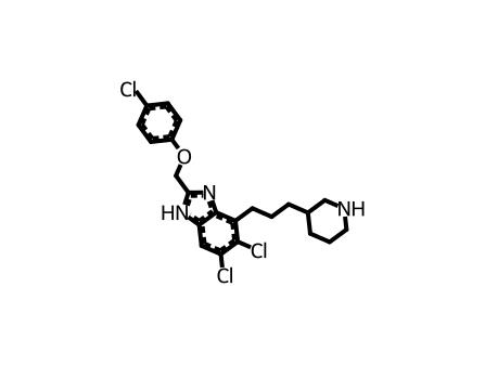 Clc1ccc(OCc2nc3c(CCCC4CCCNC4)c(Cl)c(Cl)cc3[nH]2)cc1